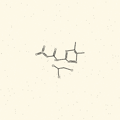 Cc1nnc(NC(=O)N=S(=O)=O)nc1C.ClCC(Cl)Cl